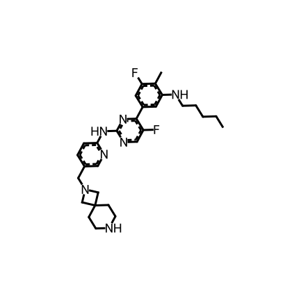 CCCCCNc1cc(-c2nc(Nc3ccc(CN4CC5(CCNCC5)C4)cn3)ncc2F)cc(F)c1C